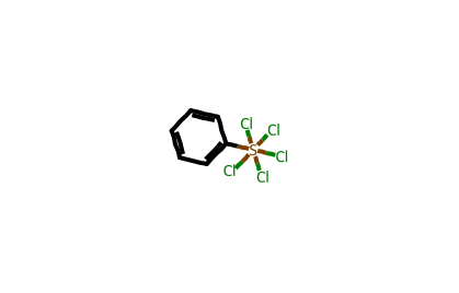 ClS(Cl)(Cl)(Cl)(Cl)c1ccccc1